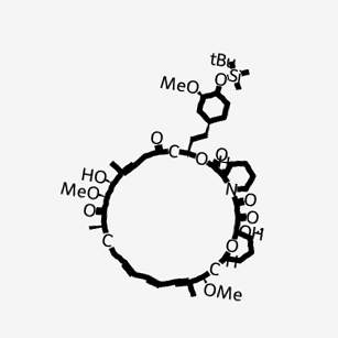 CO[C@H]1C[C@@H]2CC[C@@H](C)[C@@](O)(O2)C(=O)C(=O)N2CCCC[C@H]2C(=O)O[C@H](CC[C@@H]2CCC(O[Si](C)(C)C(C)(C)C)[C@H](OC)C2)CC(=O)C/C=C(\C)[C@@H](O)[C@@H](OC)C(=O)[C@H](C)CC/C=C/C=C/C=C/1C